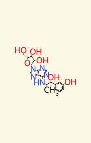 C[C@H](Nc1ncnc2c1ncn2[C@@H]1O[C@H](CO)C(O)[C@@H]1O)[C@H](O)c1cccc(O)c1